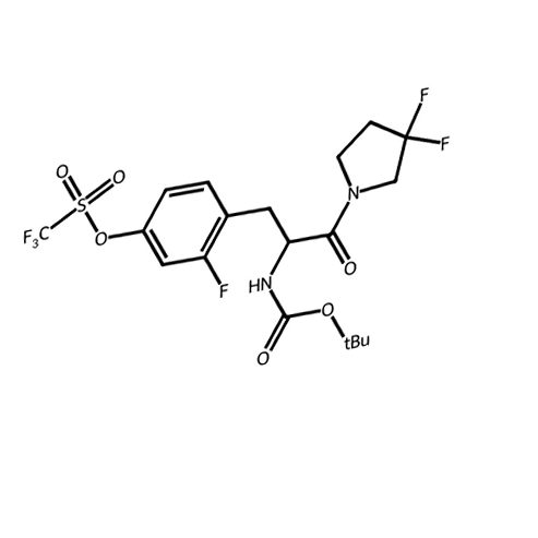 CC(C)(C)OC(=O)NC(Cc1ccc(OS(=O)(=O)C(F)(F)F)cc1F)C(=O)N1CCC(F)(F)C1